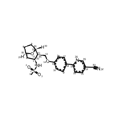 CS(=O)(=O)N[C@H]1C[C@H]2CC[C@@H](O2)[C@H]1COc1ccc(-c2ccc(C#N)cn2)cc1